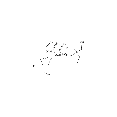 C=CC(=O)O.C=CC(=O)O.C=CC(=O)O.CCC(CO)(CO)CO.OCC(CO)(CO)CO